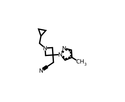 Cc1cnn(C2(CC#N)CN(CC3CC3)C2)c1